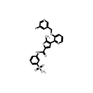 Cc1sc(C(=O)Nc2cccc(S(C)(=O)=O)c2)cc1-c1ncccc1OCc1cncc(F)c1